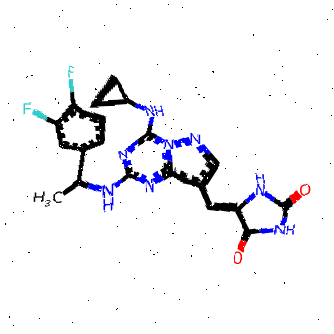 CC(Nc1nc(NC2CC2)n2ncc(/C=C3\NC(=O)NC3=O)c2n1)c1ccc(F)c(F)c1